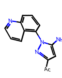 CC(=O)c1cc(N)n(-c2cccc3ncccc23)n1